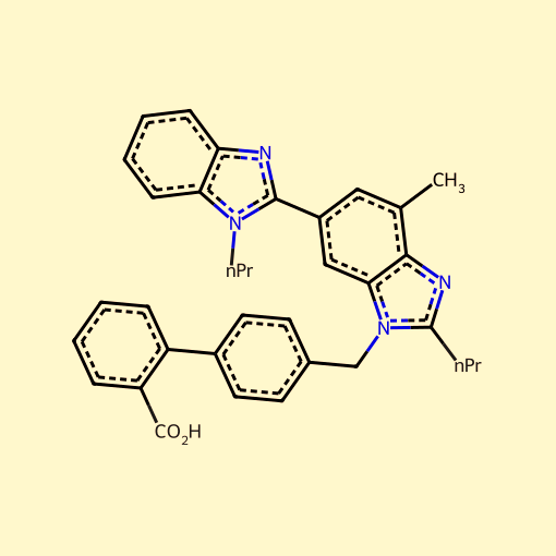 CCCc1nc2c(C)cc(-c3nc4ccccc4n3CCC)cc2n1Cc1ccc(-c2ccccc2C(=O)O)cc1